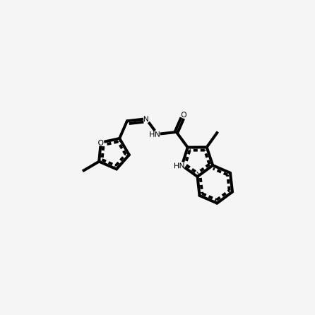 Cc1ccc(/C=N\NC(=O)c2[nH]c3ccccc3c2C)o1